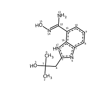 CC(C)(O)Cc1nc2cccc(C(N)=NO)c2[nH]1